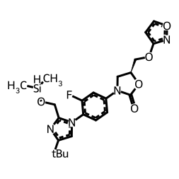 C[SiH](C)OCc1nc(C(C)(C)C)cn1-c1ccc(N2C[C@@H](COc3ccon3)OC2=O)cc1F